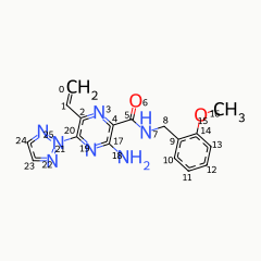 C=Cc1nc(C(=O)NCc2ccccc2OC)c(N)nc1-n1nccn1